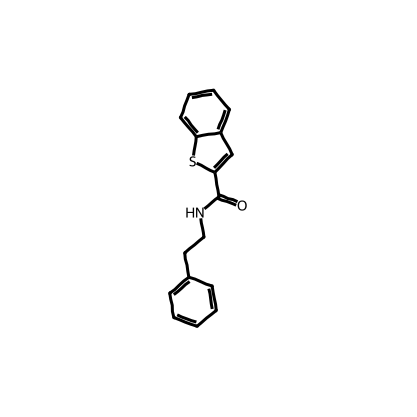 O=C(NCCc1ccccc1)c1cc2ccccc2s1